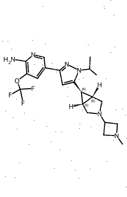 CC(C)n1nc(-c2cnc(N)c(OC(F)(F)F)c2)cc1[C@H]1[C@@H]2CN(C3CN(C)C3)C[C@@H]21